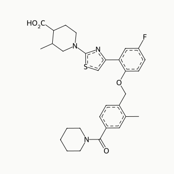 Cc1cc(C(=O)N2CCCCC2)ccc1COc1ccc(F)cc1-c1csc(N2CCC(C(=O)O)C(C)C2)n1